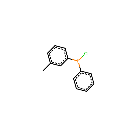 Cc1cccc(P(Cl)c2ccccc2)c1